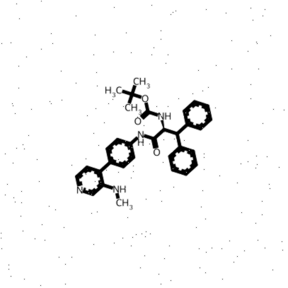 CNc1cnccc1-c1ccc(NC(=O)[C@@H](NC(=O)OC(C)(C)C)C(c2ccccc2)c2ccccc2)cc1